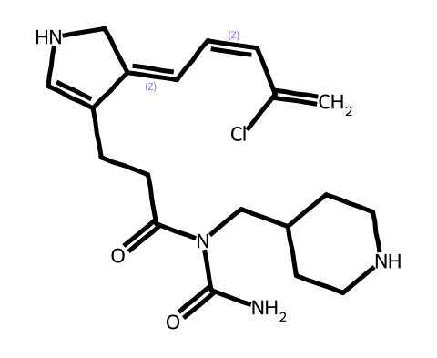 C=C(Cl)/C=C\C=C1/CNC=C1CCC(=O)N(CC1CCNCC1)C(N)=O